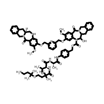 COc1cc2c(cc1OCc1cccc(COc3cc4c(cc3OC)C(=O)N3Cc5ccccc5CC3C(O)N4C(=O)OCc3ccc(NC(=O)[C@H](C)NC(=O)[C@@H](NC(=O)C(C)(C)CCOC(C)(C)CCN)C(C)C)cc3)n1)NC[C@@H]1Cc3ccccc3CN1C2=O